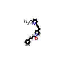 Cc1cccc(C#CC=C2CCN(C(=O)CCCc3ccccc3)CC2)n1